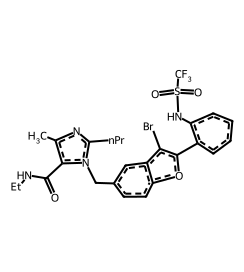 CCCc1nc(C)c(C(=O)NCC)n1Cc1ccc2oc(-c3ccccc3NS(=O)(=O)C(F)(F)F)c(Br)c2c1